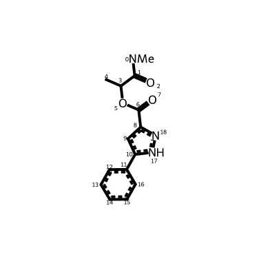 CNC(=O)C(C)OC(=O)c1cc(-c2ccccc2)[nH]n1